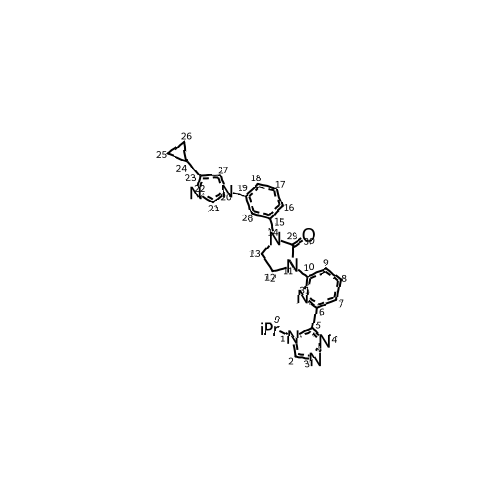 CC(C)n1cnnc1-c1cccc(N2CCN(c3cccc(-n4cnc(C5CC5)c4)c3)C2=O)n1